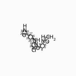 C=CC(=O)Nc1cccc(Oc2nc(Nc3ccc(C4CNCCO4)cc3)ccc2Cl)c1